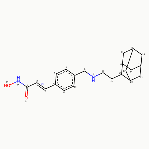 O=C(/C=C/c1ccc(CNCCC2C3CC4CC(C3)CC2C4)cc1)NO